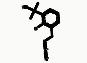 CC(C)(O)c1cccc(CN=[N+]=[N-])[n+]1[O-]